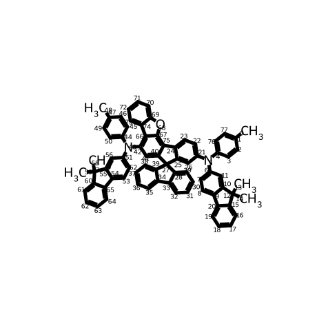 Cc1ccc(N(c2ccc3c(c2)C(C)(C)c2ccccc2-3)c2ccc3c(c2)C2(c4ccccc4-c4ccccc42)c2cc(N(c4ccc(C)cc4)c4ccc5c(c4)C(C)(C)c4ccccc4-5)c4c(oc5ccccc54)c2-3)cc1